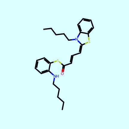 CCCCCNc1ccccc1SC(=O)/C=C/C=C1/Sc2ccccc2N1CCCCC